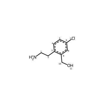 NCCc1ccc(Cl)cc1CO